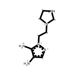 Nc1cnn(CCN2CCNC2)c1N